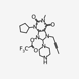 CC#CCN1c2c(n(C3CCCC3)c(=O)n(C)c2=O)N(OC(=O)C(F)(F)F)C1N1CCNCC1